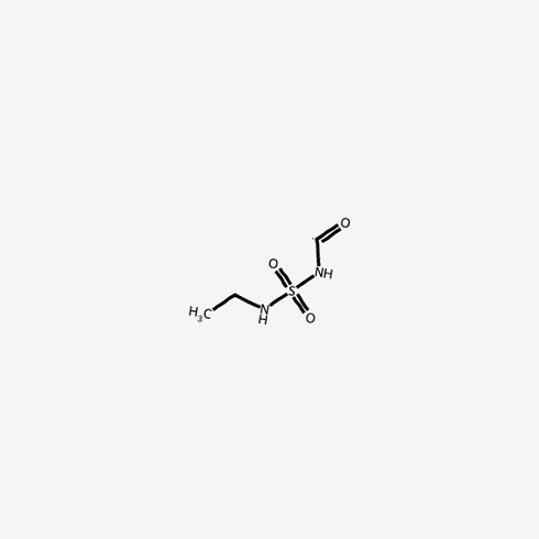 CCNS(=O)(=O)N[C]=O